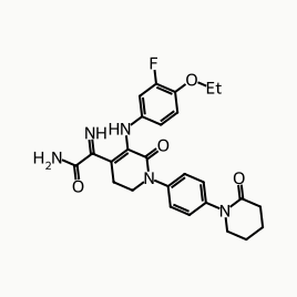 CCOc1ccc(NC2=C(C(=N)C(N)=O)CCN(c3ccc(N4CCCCC4=O)cc3)C2=O)cc1F